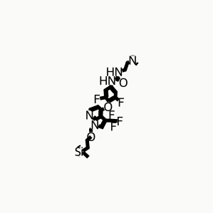 CN(C)CCNC(=O)Nc1cc(F)c(Oc2ccnc3c2c(C(F)(F)F)cn3COCC[Si](C)(C)C)c(F)c1